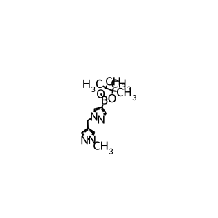 Cn1cc(Cn2cc(B3OC(C)(C)C(C)(C)O3)cn2)cn1